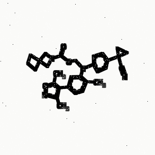 Cc1ccc(-c2c(C)noc2C)cc1N(COC(=O)N1CC2(CCC2)C1)c1ccc(C2(C#N)CC2)cc1